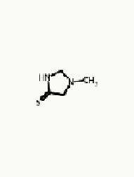 CN1CNC(=S)C1